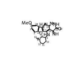 COc1ccc2oc(/C(NC3CCCN(C)C3)=C3/C(=N)C(=O)NN=C3N)c(C)c2c1